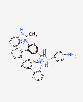 CC1Nc2ccccc2N1c1ccccc1-c1ccccc1-c1ccc(-c2ccccc2C2N=C(c3ccc(N)cc3)NC(c3ccc(N)cc3)N2)c(C#N)c1